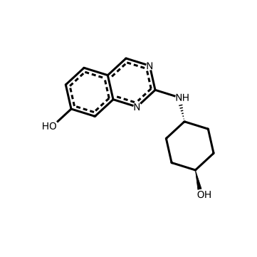 Oc1ccc2cnc(N[C@H]3CC[C@H](O)CC3)nc2c1